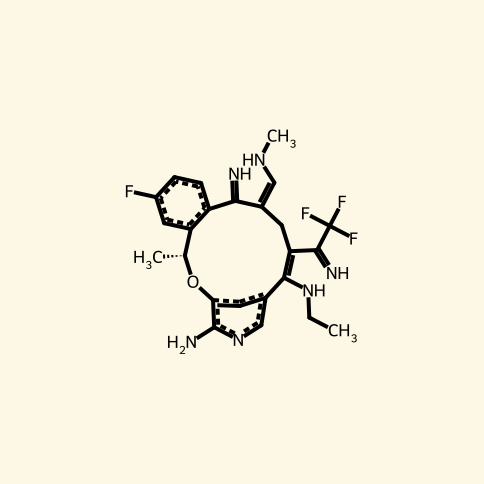 CCN/C1=C(\C(=N)C(F)(F)F)C/C(=C/NC)C(=N)c2ccc(F)cc2[C@@H](C)Oc2cc1cnc2N